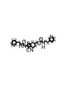 N#Cc1c(NC(=O)C=Cc2cccnc2)sc2c1CCC(COC(=O)NCCc1cccnc1)C2